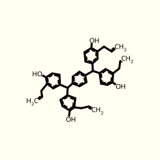 C=CCc1cc(C(c2ccc(C(c3ccc(O)c(CC=C)c3)c3ccc(O)c(CC=C)c3)cc2)c2ccc(O)c(CC=C)c2)ccc1O